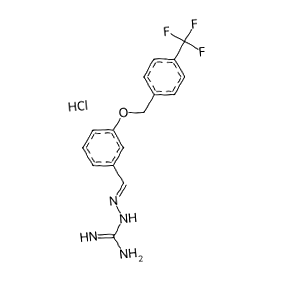 Cl.N=C(N)NN=Cc1cccc(OCc2ccc(C(F)(F)F)cc2)c1